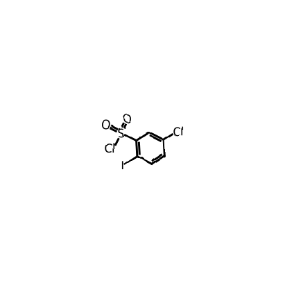 O=S(=O)(Cl)c1cc(Cl)ccc1I